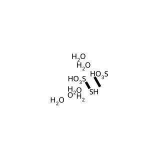 CS(=O)(=O)O.O.O.O.O.O.O=S(=O)(O)S